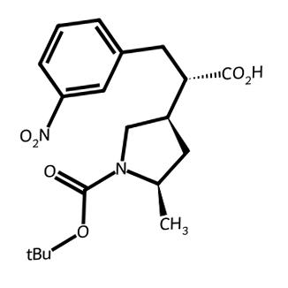 C[C@@H]1C[C@H]([C@H](Cc2cccc([N+](=O)[O-])c2)C(=O)O)CN1C(=O)OC(C)(C)C